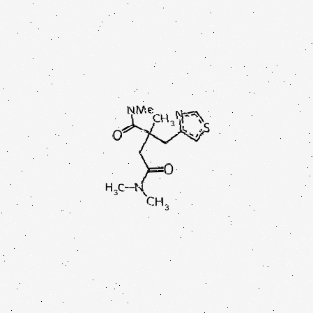 CNC(=O)C(C)(CC(=O)N(C)C)Cc1cscn1